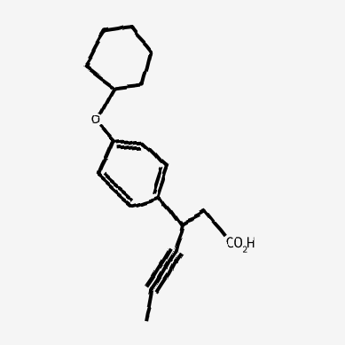 CC#CC(CC(=O)O)c1ccc(OC2CCCCC2)cc1